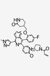 C=CC(=O)N1CC[C@H](n2cc(-c3nc(-c4cnn(C)c4)c4ccsc4c3-c3ccc(F)cc3OCC3CCNC(=O)C3)ccc2=O)C1